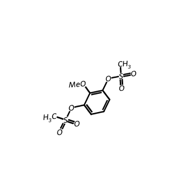 COc1c(OS(C)(=O)=O)cccc1OS(C)(=O)=O